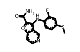 CSc1ccc(Nc2c(C(N)=O)oc3ccncc23)c(F)c1